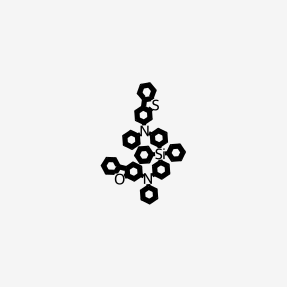 c1ccc(N(c2cccc([Si](c3ccccc3)(c3ccccc3)c3cccc(N(c4ccccc4)c4ccc5c(c4)sc4ccccc45)c3)c2)c2ccc3c(c2)oc2ccccc23)cc1